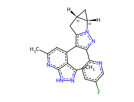 Cc1cc(-c2c(-c3ccc(F)cn3)nn3c2C[C@@H]2C[C@@H]23)c2c(C)n[nH]c2n1